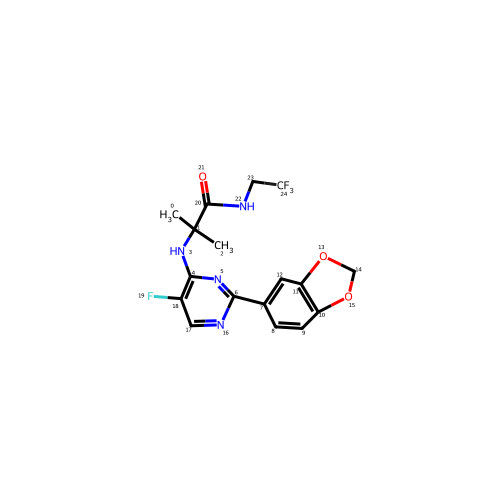 CC(C)(Nc1nc(-c2ccc3c(c2)OCO3)ncc1F)C(=O)NCC(F)(F)F